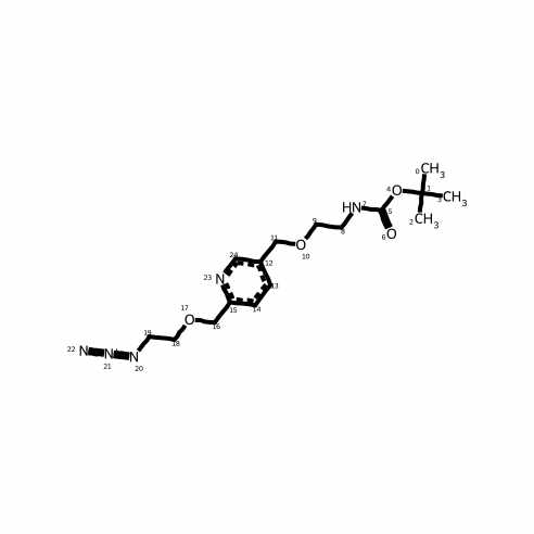 CC(C)(C)OC(=O)NCCOCc1ccc(COCCN=[N+]=[N-])nc1